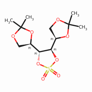 CC1(C)OC[C@H]([C@H]2OS(=O)(=O)O[C@@H]2[C@H]2COC(C)(C)O2)O1